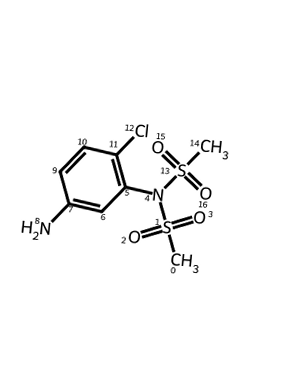 CS(=O)(=O)N(c1cc(N)ccc1Cl)S(C)(=O)=O